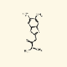 Cc1cc2nc(CC(=O)N(C)C)oc2cc1C